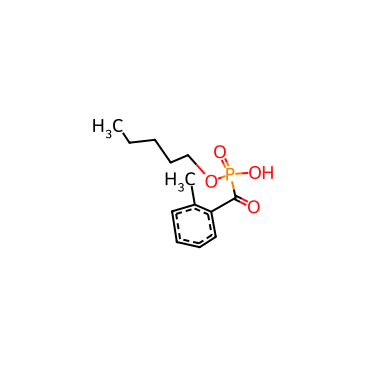 CCCCCOP(=O)(O)C(=O)c1ccccc1C